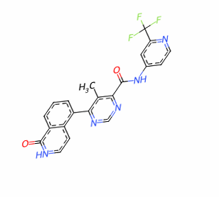 Cc1c(C(=O)Nc2ccnc(C(F)(F)F)c2)ncnc1-c1cccc2c(=O)[nH]ccc12